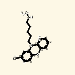 CNCCCCCN1c2cc(Cl)ccc2Sc2cccnc21